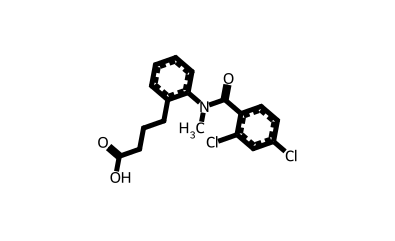 CN(C(=O)c1ccc(Cl)cc1Cl)c1ccccc1CCCC(=O)O